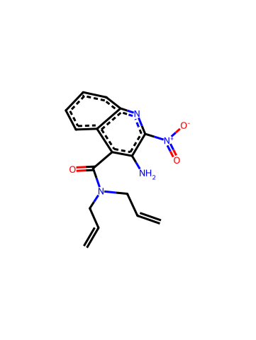 C=CCN(CC=C)C(=O)c1c(N)c([N+](=O)[O-])nc2ccccc12